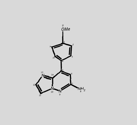 COc1ccc(-c2cc(N)nn3ccnc23)cc1